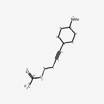 CNC1CCC(C#CCCOC(=O)C(F)(F)F)CC1